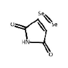 O=C1C=CC(=O)N1.[Se]=[Se]